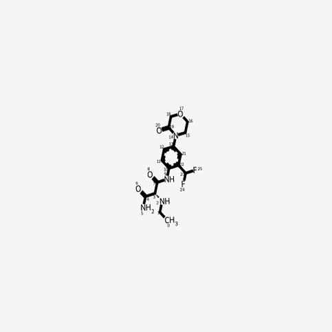 CCN[C@H](C(N)=O)C(=O)Nc1ccc(N2CCOCC2=O)cc1C(F)F